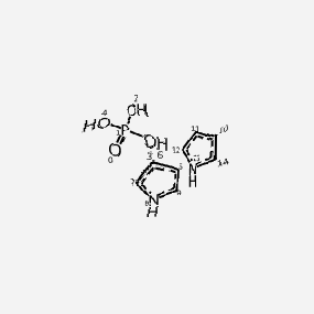 O=P(O)(O)O.c1cc[nH]c1.c1cc[nH]c1